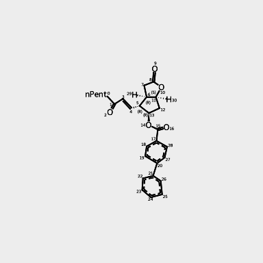 CCCCCC(=O)C=C[C@@H]1[C@H]2CC(=O)O[C@H]2C[C@H]1OC(=O)c1ccc(-c2ccccc2)cc1